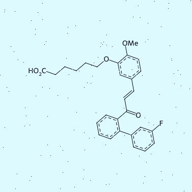 COc1ccc(C=CC(=O)c2ccccc2-c2cccc(F)c2)cc1OCCCCCC(=O)O